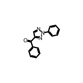 O=C(c1ccccc1)c1cnn(-c2ccccc2)n1